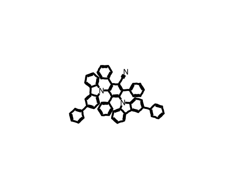 N#Cc1c(-c2ccccc2)c(-n2c3ccccc3c3cc(-c4ccccc4)ccc32)c(-c2ccccc2)c(-n2c3ccccc3c3cc(-c4ccccc4)ccc32)c1-c1ccccc1